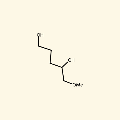 COCC(O)CCCO